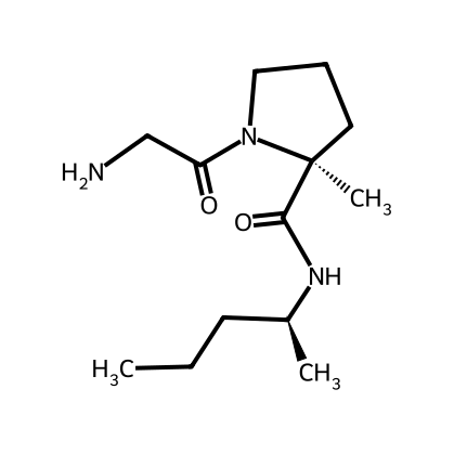 CCC[C@H](C)NC(=O)[C@]1(C)CCCN1C(=O)CN